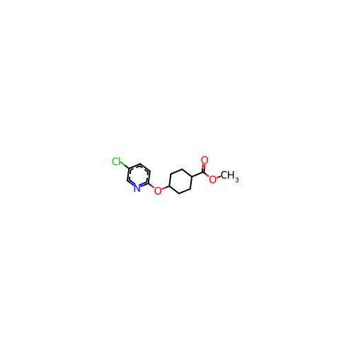 COC(=O)C1CCC(Oc2ccc(Cl)cn2)CC1